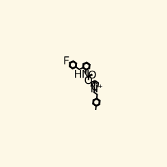 Cc1ccc(CC[N+]23CCC(CC2)C(OC(=O)Nc2ccccc2Cc2ccc(F)cc2)C3)cc1